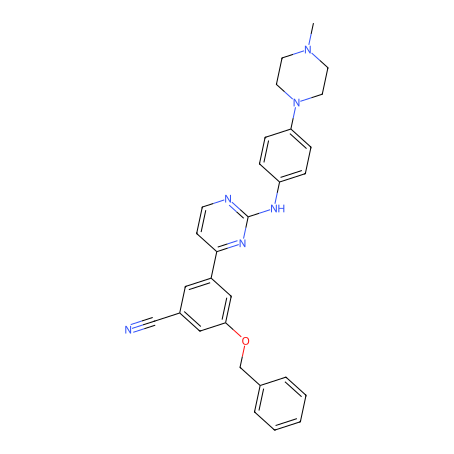 CN1CCN(c2ccc(Nc3nccc(-c4cc(C#N)cc(OCc5ccccc5)c4)n3)cc2)CC1